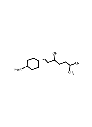 CCCCC[C@H]1CC[C@H](CCC(O)CCC(C)C#N)CC1